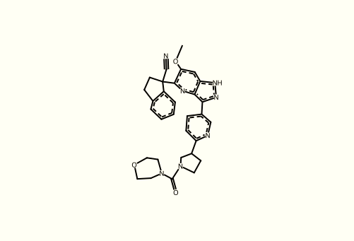 COc1cc2[nH]nc(-c3ccc(C4CCN(C(=O)N5CCOCC5)C4)nc3)c2nc1C1(C#N)CCc2ccccc21